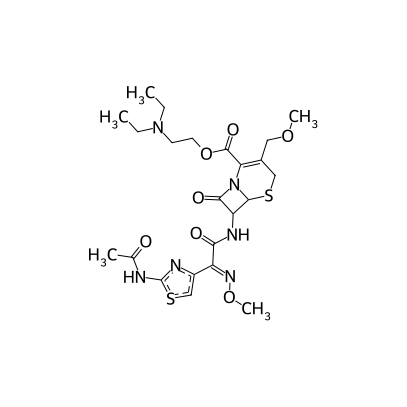 CCN(CC)CCOC(=O)C1=C(COC)CSC2C(NC(=O)C(=NOC)c3csc(NC(C)=O)n3)C(=O)N12